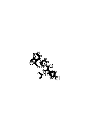 CC(C)NCC(C(=O)N1CCN(c2ccnc3c2C(C)OC3)CC1)c1ccc(Cl)cc1